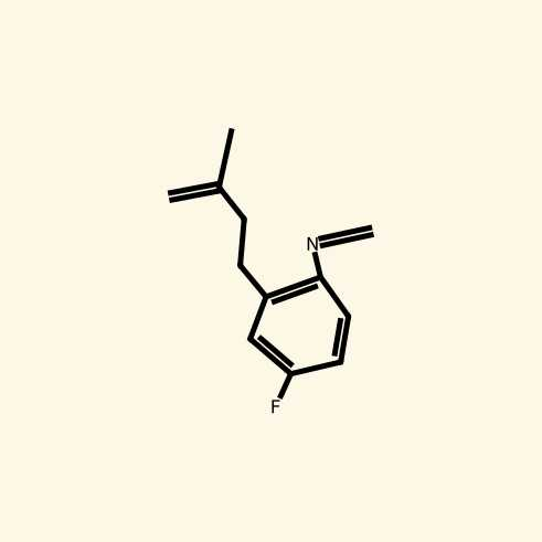 C=Nc1ccc(F)cc1CCC(=C)C